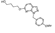 COc1ccc(Cn2ncc3ccc(OCCCCO)nc32)cc1